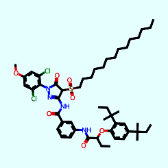 CCCCCCCCCCCCCCS(=O)(=O)C1C(=O)N(c2c(Cl)cc(OC)cc2Cl)N=C1NC(=O)c1cccc(NC(=O)C(CC)Oc2ccc(C(C)(C)CC)cc2C(C)(C)CC)c1